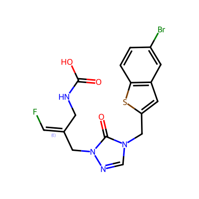 O=C(O)NC/C(=C\F)Cn1ncn(Cc2cc3cc(Br)ccc3s2)c1=O